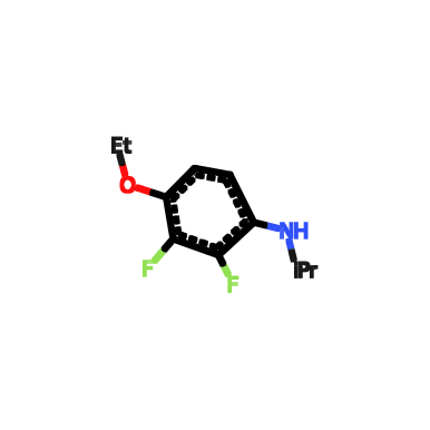 CCOc1ccc(NC(C)C)c(F)c1F